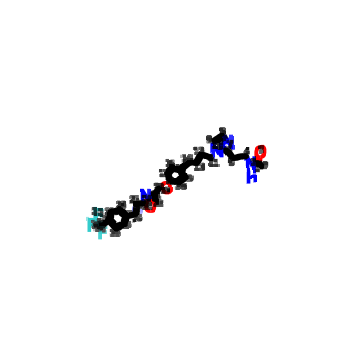 CC(=O)NCCc1nccn1CCCCc1ccc(OCc2coc(/C=C/c3ccc(C(F)(F)F)cc3)n2)cc1